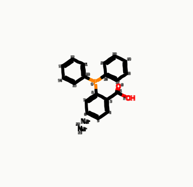 O=C(O)c1ccccc1P(c1ccccc1)c1ccccc1.[Na].[Na]